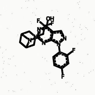 Oc1nc(N2C3CC2CN(CC(F)F)C3)nc2c1cnn2-c1ccc(F)cc1F